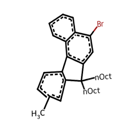 CCCCCCCCC1(CCCCCCCC)c2cc(C)ccc2-c2c1cc(Br)c1ccccc21